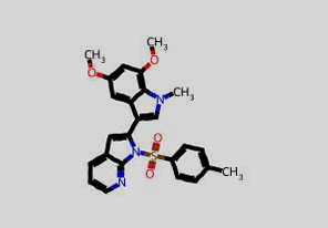 COc1cc(OC)c2c(c1)c(-c1cc3cccnc3n1S(=O)(=O)c1ccc(C)cc1)cn2C